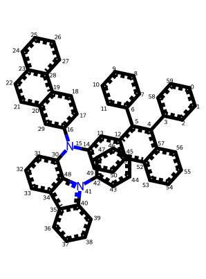 c1ccc(-c2c(-c3ccccc3)c3cc(N(c4ccc5c(ccc6ccccc65)c4)c4cccc5c6ccccc6n(-c6ccccc6)c45)ccc3c3ccccc23)cc1